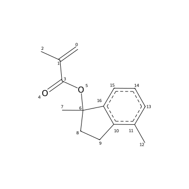 C=C(C)C(=O)OC1(C)CCc2c(C)cccc21